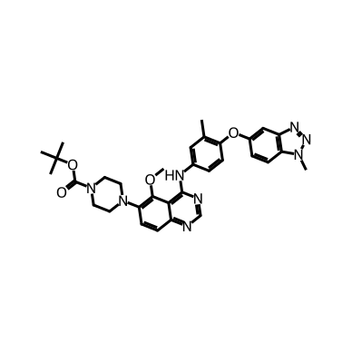 COc1c(N2CCN(C(=O)OC(C)(C)C)CC2)ccc2ncnc(Nc3ccc(Oc4ccc5c(c4)nnn5C)c(C)c3)c12